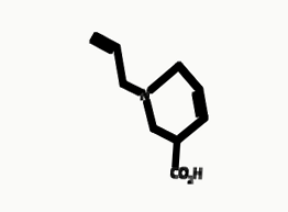 C=CCN1CC=CC(C(=O)O)C1